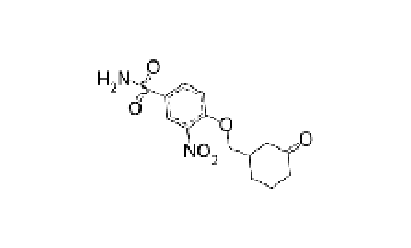 NS(=O)(=O)c1ccc(OCC2CCCC(=O)C2)c([N+](=O)[O-])c1